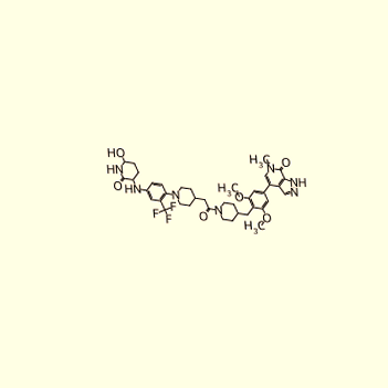 COc1cc(-c2cn(C)c(=O)c3[nH]ncc23)cc(OC)c1CC1CCN(C(=O)CC2CCN(c3ccc(NC4CCC(O)NC4=O)cc3C(F)(F)F)CC2)CC1